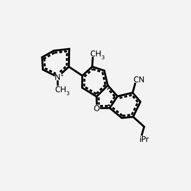 Cc1cc2c(cc1-c1cccc[n+]1C)oc1cc(CC(C)C)cc(C#N)c12